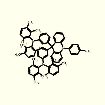 Cc1ccc(N2c3ccccc3C(c3cccc(N(c4c(C)ccc(C)c4C)c4c(C)ccc(C)c4C)c3)(c3cccc(N(c4c(C)ccc(C)c4C)c4c(C)ccc(C)c4C)c3)c3cc(C)ccc32)cc1